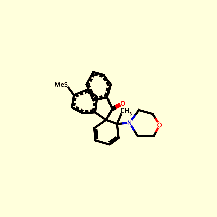 CSc1ccc(C2(C(=O)c3ccccc3)C=CC=CC2(C)N2CCOCC2)cc1